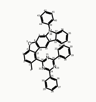 Cc1ccc2oc3cc4c(cc3c2c1-c1nc(-c2ccccc2)nc(-c2ccccc2)n1)c1ccccc1n4-c1ccccc1